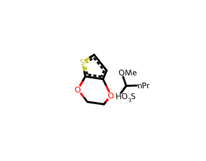 CCCC(OC)S(=O)(=O)O.c1cc2c(s1)OCCO2